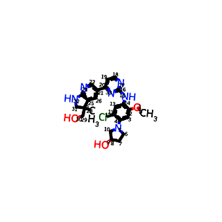 COc1cc(N2CCC(O)C2)c(Cl)cc1Nc1nccc(-c2cnc3c(c2)C(C)(CO)CN3)n1